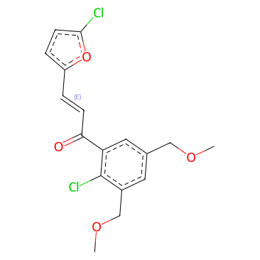 COCc1cc(COC)c(Cl)c(C(=O)/C=C/c2ccc(Cl)o2)c1